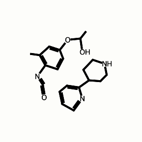 Cc1cc(OC(C)O)ccc1N=C=O.c1ccc(C2CCNCC2)nc1